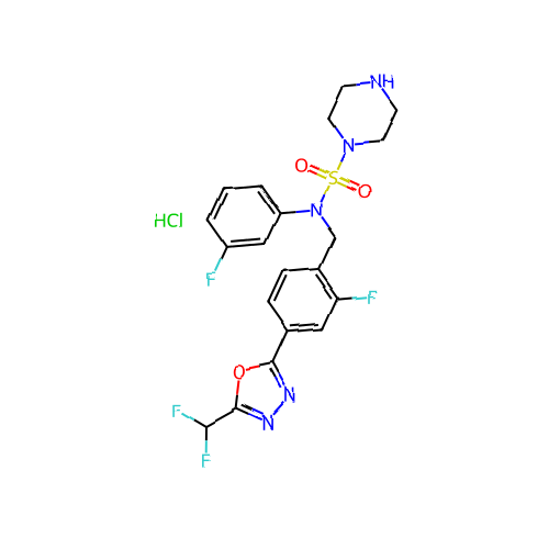 Cl.O=S(=O)(N1CCNCC1)N(Cc1ccc(-c2nnc(C(F)F)o2)cc1F)c1cccc(F)c1